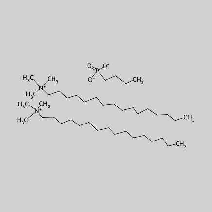 CCCCCCCCCCCCCCCC[N+](C)(C)C.CCCCCCCCCCCCCCCC[N+](C)(C)C.CCCCP(=O)([O-])[O-]